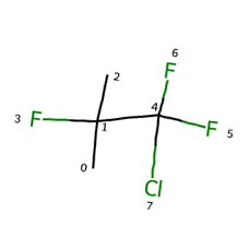 CC(C)(F)C(F)(F)Cl